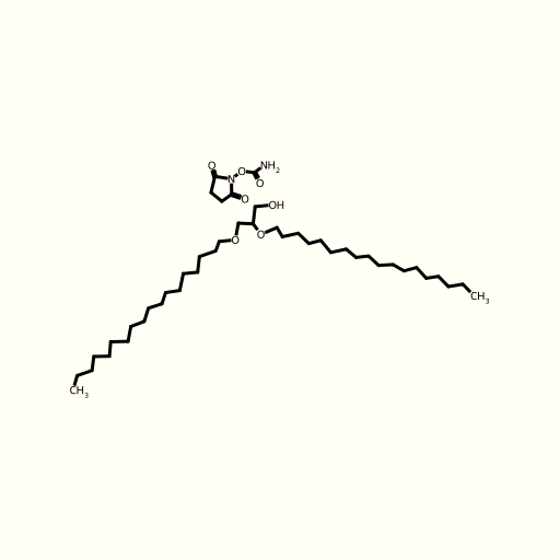 CCCCCCCCCCCCCCCCCCOCC(CO)OCCCCCCCCCCCCCCCCCC.NC(=O)ON1C(=O)CCC1=O